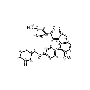 COc1ccc2[nH]c3cnc(-c4cnn(C)c4)cc3c2c1-c1ccc(OCC2CCCNC2)cc1